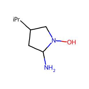 CC(C)C1CC(N)N(O)C1